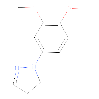 COc1ccc(N2CCC=N2)cc1OC